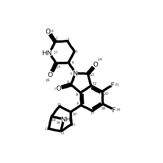 O=C1CCC(N2C(=O)c3c(C4CC5CC(C4)N5)cc(F)c(F)c3C2=O)C(=O)N1